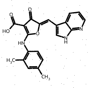 Cc1ccc(NC2=C(C(=O)O)C(=O)C(=Cc3c[nH]c4ncccc34)O2)c(C)c1